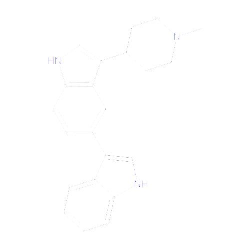 CN1CCC(c2c[nH]c3ccc(-c4c[nH]c5ccccc45)cc23)CC1